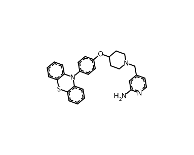 Nc1cc(CN2CCC(Oc3ccc(N4c5ccccc5Sc5ccccc54)cc3)CC2)ccn1